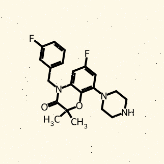 CC1(C)Oc2c(N3CCNCC3)cc(F)cc2N(Cc2cccc(F)c2)C1=O